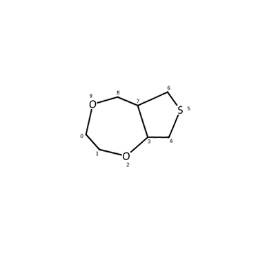 C1COC2CSCC2CO1